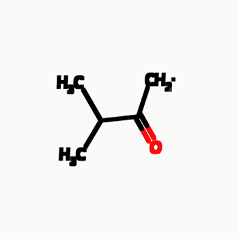 [CH2]C(=O)C(C)C